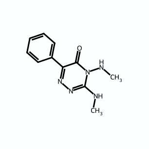 CNc1nnc(-c2ccccc2)c(=O)n1NC